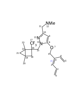 C=C/C=C(\C=C)COc1cc(CNC)nn1CC1(C(F)(F)F)CC2(C)CC21C